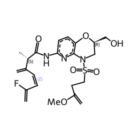 C=C(F)/C=C\C(=C)[C@H](C)C(=O)Nc1ccc2c(n1)N(S(=O)(=O)CCC(=C)OC)C[C@H](CO)O2